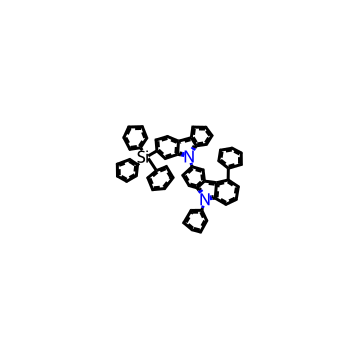 c1ccc(-c2cccc3c2c2cc(-n4c5ccccc5c5ccc([Si](c6ccccc6)(c6ccccc6)c6ccccc6)cc54)ccc2n3-c2ccccc2)cc1